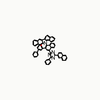 c1ccc(-c2cccc(-c3cc(-c4nc(-c5ccccc5)nc(-c5ccc6ccccc6c5)n4)c4ccccc4c3-n3c4cc5ccccc5cc4c4ccc5ccccc5c43)c2)cc1